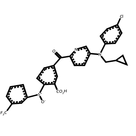 O=C(c1ccc([S+]([O-])c2cccc(C(F)(F)F)c2)c(C(=O)O)c1)c1ccc(N(CC2CC2)c2ccc(Cl)cc2)cn1